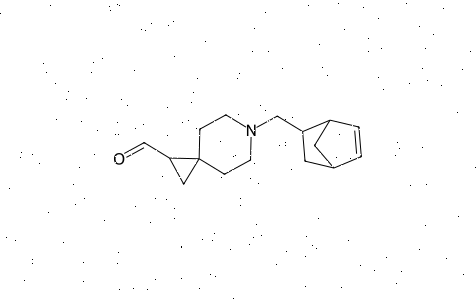 O=CC1CC12CCN(CC1CC3C=CC1C3)CC2